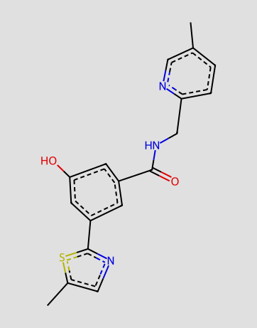 Cc1ccc(CNC(=O)c2cc(O)cc(-c3ncc(C)s3)c2)nc1